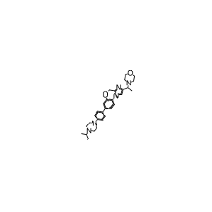 CC(C)N1CCN(c2ccc(-c3ccc4c(c3)OCc3nc(C(C)N5CCOCC5)cn3-4)cc2)CC1